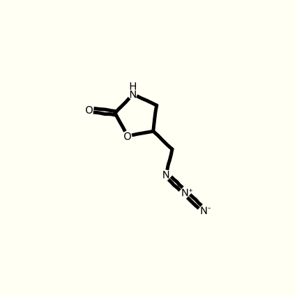 [N-]=[N+]=NCC1CNC(=O)O1